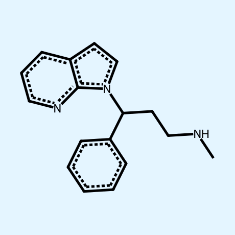 CNCCC(c1ccccc1)n1ccc2cccnc21